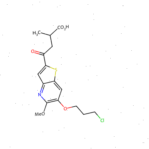 COc1nc2cc(C(=O)CC(C)C(=O)O)sc2cc1OCCCCl